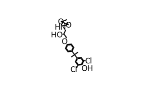 CC(C)(c1ccc(OCC(O)CNS(C)(=O)=O)cc1)c1cc(Cl)c(O)c(Cl)c1